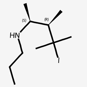 CCCN[C@@H](C)[C@@H](C)C(C)(C)I